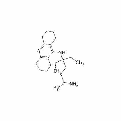 CCC(CC)(CCC(C)N)Nc1c2c(nc3c1CCCC3)CCCC2